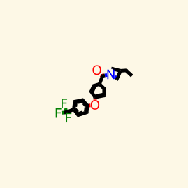 CCC1CN(C(=O)C2C=CC(Oc3ccc(C(F)(F)F)cc3)=CC2)C1